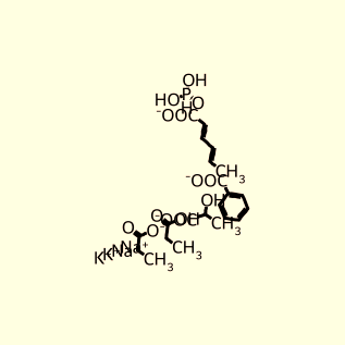 CC(O)C(=O)[O-].CC=CC=CC(=O)[O-].CCC(=O)O.CCC(=O)[O-].O=C([O-])c1ccccc1.O=[PH](O)O.[K+].[K+].[Na+].[Na+]